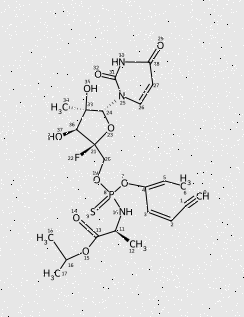 C#C/C=C\C(=C/C)OP(=S)(N[C@@H](C)C(=O)OC(C)C)OC[C@@]1(F)O[C@@H](n2ccc(=O)[nH]c2=O)[C@](C)(O)[C@@H]1O